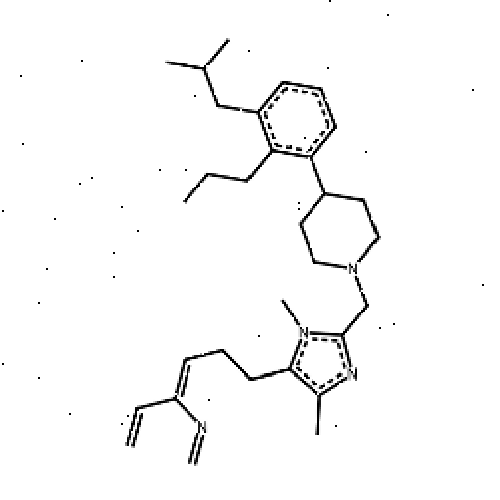 C=C/C(=C/CCc1c(C)nc(CN2CCC(c3cccc(CC(C)C)c3CCC)CC2)n1C)N=C